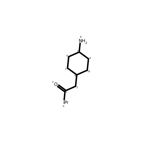 CC(C)C(=O)CC1CCC(N)CC1